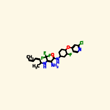 C/C=C\C=C/C(C)N/C(=C(\N)C(=O)NC1CCC(Oc2ccnc(Cl)c2)C(F)C1)C(F)(F)F